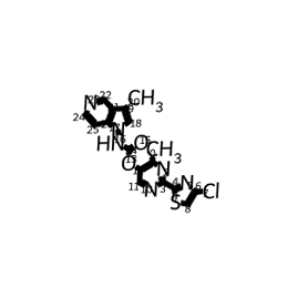 Cc1nc(-c2nc(Cl)cs2)ncc1OC(=O)Nn1cc(C)c2cnccc21